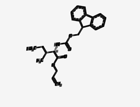 C=CCOC(=O)[C@@H](NC(=O)OCC1c2ccccc2-c2ccccc21)C(C)CC(=O)O